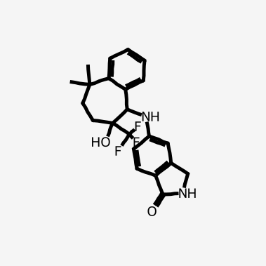 CC1(C)CCC(O)(C(F)(F)F)C(Nc2ccc3c(c2)CNC3=O)c2ccccc21